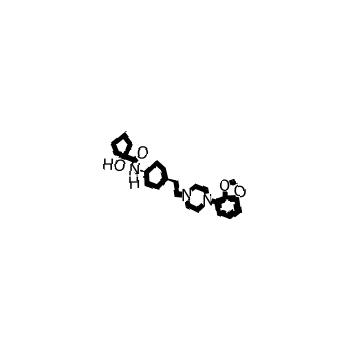 O=C(N[C@H]1CC[C@H](CCN2CCN(c3cccc4c3OCO4)CC2)CC1)C1(O)CCCC1